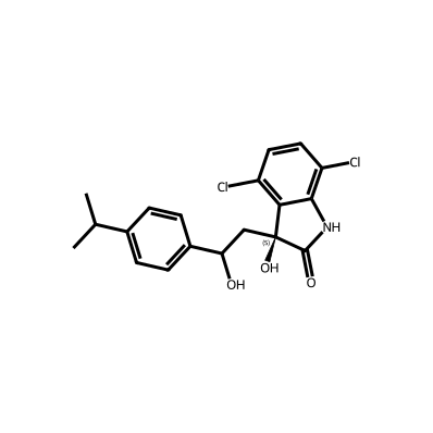 CC(C)c1ccc(C(O)C[C@@]2(O)C(=O)Nc3c(Cl)ccc(Cl)c32)cc1